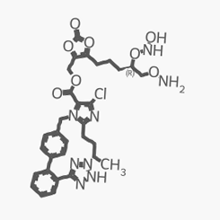 CCCCc1nc(Cl)c(C(=O)OCc2oc(=O)oc2CCC[C@H](CON)ONO)n1Cc1ccc(-c2ccccc2-c2nn[nH]n2)cc1